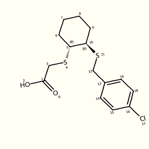 O=C(O)CS[C@@H]1CCCC[C@H]1SCc1ccc(Cl)cc1